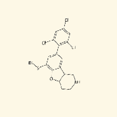 CCSc1cc(-c2c(Cl)cc(Cl)cc2Cl)cc2c1OC1CCNCC21